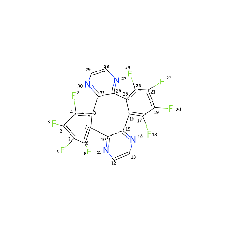 Fc1c(F)c(F)c2c(c1F)-c1nccnc1-c1c(F)c(F)c(F)c(F)c1-c1nccnc1-2